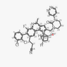 Cc1nc2c(F)c(-c3cccc(Cl)c3Cl)c(CCC#N)cc2c2c1cc([C@@H](C)N1CCCN(c3ccnnc3)C1=O)n2[C@H]1[C@H]2CN[C@@H]1C2